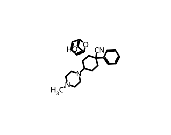 CN1CCN(C2CCC(C#N)(c3ccccc3)CC2)CC1.Oc1c2cccc1O2